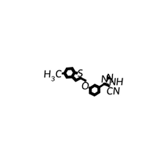 Cc1ccc2sc(COc3cccc(-c4nn[nH]c4C#N)c3)cc2c1